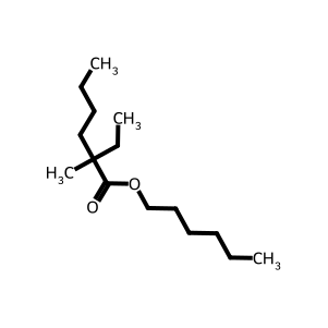 CCCCCCOC(=O)C(C)(CC)CCCC